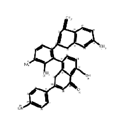 C=C1C=C(c2ccc(C#N)c(C)c2-c2ccc(O)c3c2CC(c2ccc(N=O)cc2)=CC3=O)Cc2cc(C)ccc21